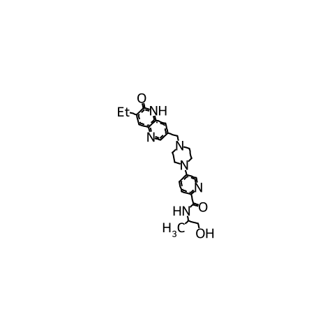 CCc1cc2ncc(CN3CCN(c4ccc(C(=O)NC(C)CO)nc4)CC3)cc2[nH]c1=O